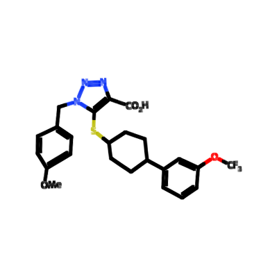 COc1ccc(Cn2nnc(C(=O)O)c2SC2CCC(c3cccc(OC(F)(F)F)c3)CC2)cc1